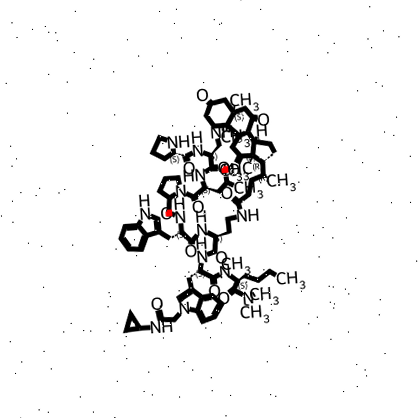 CCCC[C@@H](C(=O)N(C)C)N(C)C(=O)[C@H](Cc1cn(CC(=O)NC2CC2)c2ccccc12)NC(=O)[C@H](CCNC(=O)CC[C@@H](C)[C@H]1CC[C@H]2C3C(=O)C[C@]4(C)CC(=O)CC[C@]4(C)C3CC(=O)[C@]12C)NC(=O)[C@H](Cc1c[nH]c2ccccc12)NC(=O)C1CCCN1C(=O)[C@H](CC(C)C)NC(=O)[C@H](CN)NC(=O)[C@@H]1CCCN1